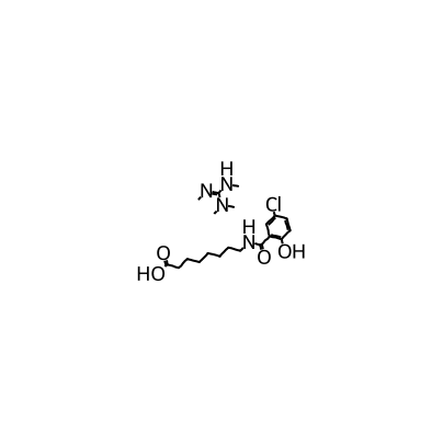 CN=C(NC)N(C)C.O=C(O)CCCCCCCNC(=O)c1cc(Cl)ccc1O